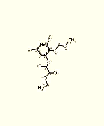 CCOC(=O)C(F)Oc1cc(I)nc(Br)c1OCOC